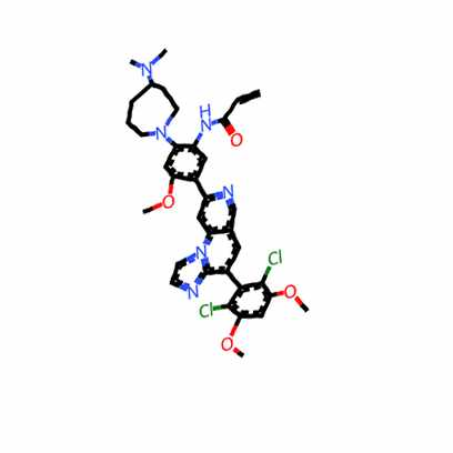 C=CC(=O)Nc1cc(-c2cc3c(cn2)cc(-c2c(Cl)c(OC)cc(OC)c2Cl)c2nccn23)c(OC)cc1N1CCCC(N(C)C)CC1